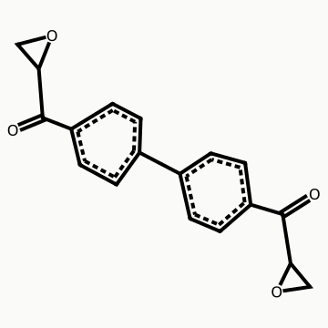 O=C(c1ccc(-c2ccc(C(=O)C3CO3)cc2)cc1)C1CO1